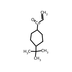 C=[CH][Co](=[O])[CH]1CCC(C(C)(C)C)CC1